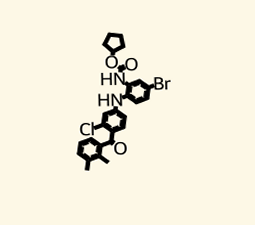 Cc1cccc(C(=O)c2ccc(Nc3ccc(Br)cc3NC(=O)OC3CCCC3)cc2Cl)c1C